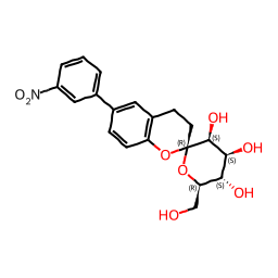 O=[N+]([O-])c1cccc(-c2ccc3c(c2)CC[C@]2(O3)O[C@H](CO)[C@@H](O)[C@H](O)[C@@H]2O)c1